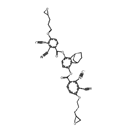 [C-]#[N+]c1c(OCCCC2CO2)ccc(C(=O)Oc2ccc(OC(=O)c3ccc(OCCCC4CO4)c(C#N)c3[N+]#[C-])c3c2C2CCC3C2)c1C#N